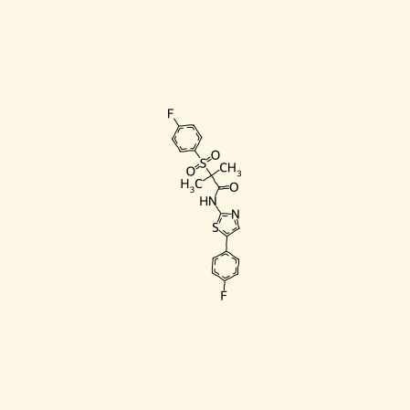 CC(C)(C(=O)Nc1ncc(-c2ccc(F)cc2)s1)S(=O)(=O)c1ccc(F)cc1